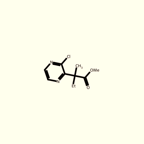 CCC(C)(C(=O)OC)c1nccnc1Cl